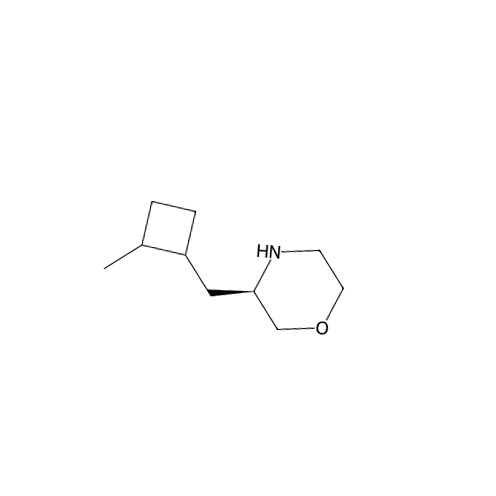 CC1CCC1C[C@@H]1COCCN1